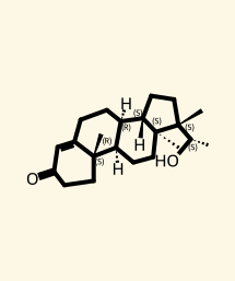 C[C@H](O)[C@@]1(C)CC[C@H]2[C@@H]3CCC4=CC(=O)CC[C@@]4(C)[C@@H]3CC[C@@]21C